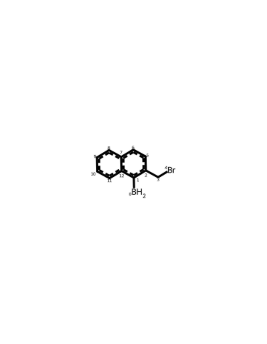 Bc1c(CBr)ccc2ccccc12